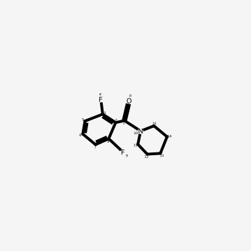 O=C(c1c(F)cccc1F)N1CCCCC1